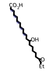 CCC1OC1CCCCCC(O)C/C=C/C=C/C=C/C=C/C=C/C(=O)O